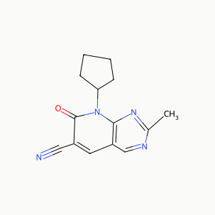 Cc1ncc2cc(C#N)c(=O)n(C3CCCC3)c2n1